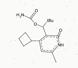 Cc1cc(C2CCC2)c(C(OC(N)=O)C(C)(C)C)c(=O)[nH]1